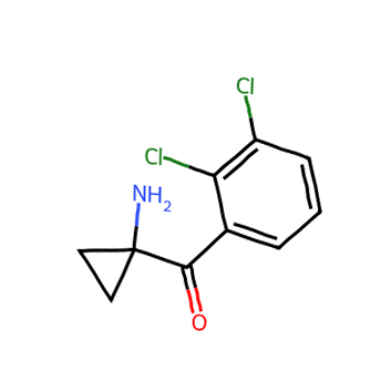 NC1(C(=O)c2cccc(Cl)c2Cl)CC1